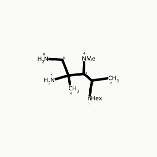 CCCCCCC(C)C(NC)C(C)(N)CN